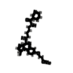 COCCOc1ccc2c(c1)nc(NCCCCNC(=O)c1cccnc1)c1ncc(C)n12